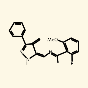 C=c1c(-c2ccccc2)n[nH]/c1=C/N=C(\C)c1c(F)cccc1OC